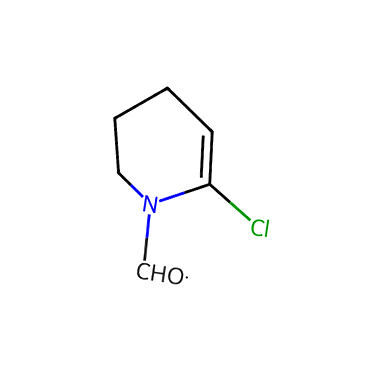 O=[C]N1CCCC=C1Cl